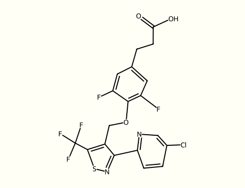 O=C(O)CCc1cc(F)c(OCc2c(-c3ccc(Cl)cn3)nsc2C(F)(F)F)c(F)c1